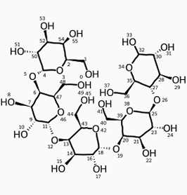 OC[C@H]1O[C@H](O[C@@H]2[C@H](O)[C@@H](O)[C@@H](O[C@@H]3[C@H](O)[C@@H](O)[C@@H](O[C@@H]4[C@H](O)[C@@H](O)[C@H](O[C@H]5[C@H](O)[C@@H](O)C(O)O[C@@H]5CO)O[C@@H]4CO)O[C@@H]3CO)O[C@@H]2CO)[C@H](O)[C@@H](O)[C@H]1O